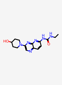 CCNC(=O)Nc1ccc2ncc(N3CCC(O)CC3)nc2n1